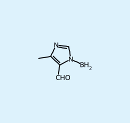 Bn1cnc(C)c1C=O